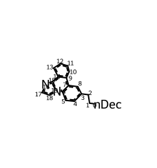 CCCCCCCCCCCCc1ccc2c(c1)c1ccccc1c1nccn21